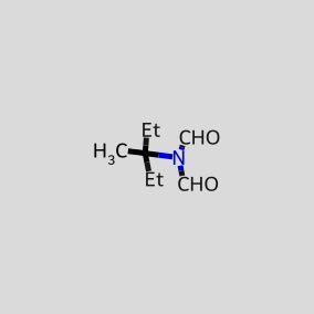 CCC(C)(CC)N(C=O)C=O